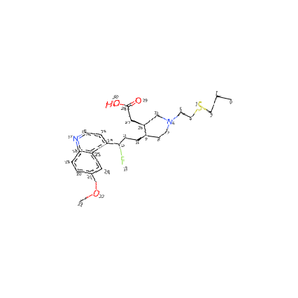 CCCSCCN1CC[C@@H](CCC(F)c2ccnc3ccc(OC)cc23)[C@@H](CC(=O)O)C1